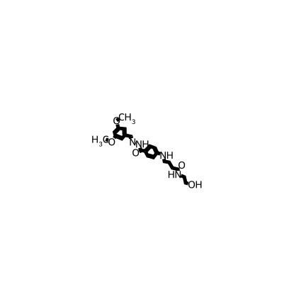 COc1cc(/C=N/NC(=O)c2ccc(NCCCC(=O)NCCO)cc2)cc(OC)c1